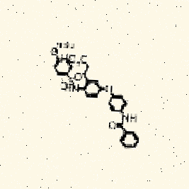 CCCCOc1ccc(S(=O)(=O)Nc2ccc(Oc3ccc(NC(=O)c4ccccc4)cc3)cc2CCC(=O)O)cc1